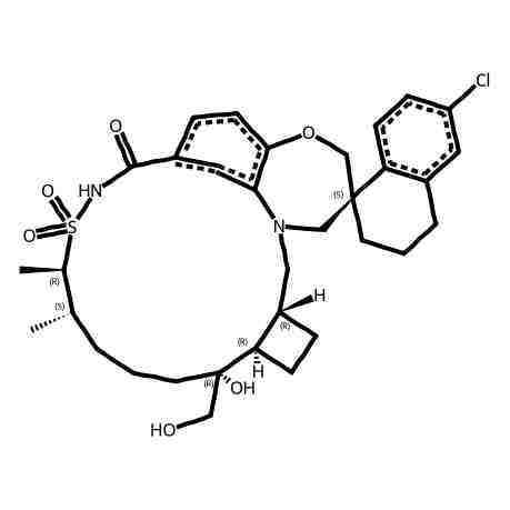 C[C@@H]1[C@@H](C)CCC[C@](O)(CO)[C@@H]2CC[C@H]2CN2C[C@@]3(CCCc4cc(Cl)ccc43)COc3ccc(cc32)C(=O)NS1(=O)=O